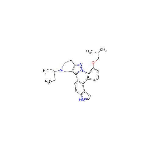 CCC(CC)N1CCc2nn3c4c(OCC(C)C)cccc4c4c5cc[nH]c5ccc4c3c2C1